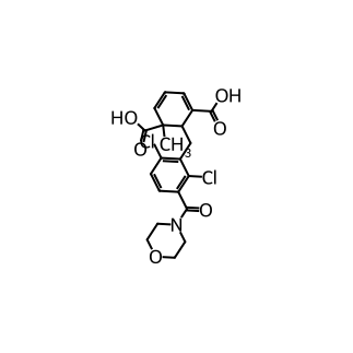 CC1(C(=O)O)C=CC=C(C(=O)O)C1Cc1c(Cl)ccc(C(=O)N2CCOCC2)c1Cl